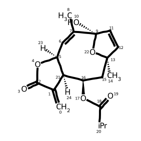 C=C1C(=O)O[C@H]2/C=C(/C)[C@@]3(O)C=C[C@@](C)(C[C@@H](OC(=O)C(C)C)[C@@H]12)O3